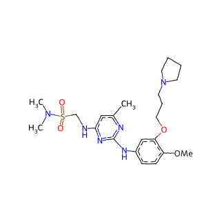 COc1ccc(Nc2nc(C)cc(NCS(=O)(=O)N(C)C)n2)cc1OCCCN1CCCC1